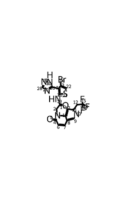 O=C(Cn1c(=O)ccc2cnc(CC(F)(F)F)cc21)Nc1scc(Br)c1-c1ncn[nH]1